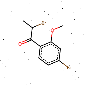 COc1cc(Br)ccc1C(=O)C(C)Br